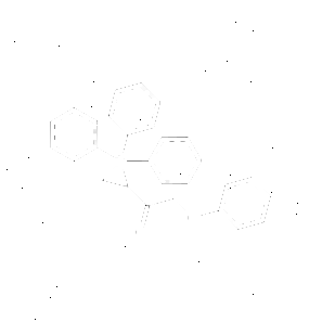 O=C(COc1ccccc1)C1CP1(c1ccccc1)(c1ccccc1)c1ccccc1